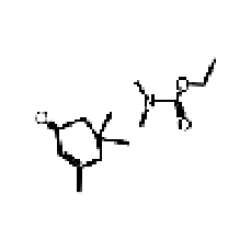 CC1=CC(=O)CC(C)(C)C1.CCOC(=O)N(C)C